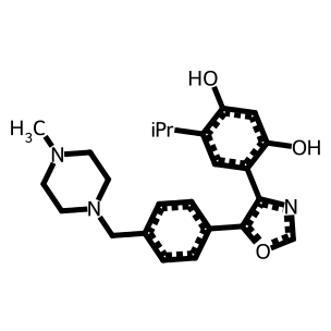 CC(C)c1cc(-c2ncoc2-c2ccc(CN3CCN(C)CC3)cc2)c(O)cc1O